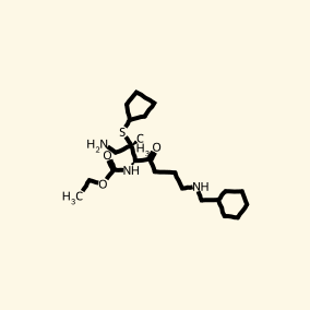 CCOC(=O)N[C@@H](C(=O)CCCNCC1CCCCC1)[C@](C)(CN)SC1CCCC1